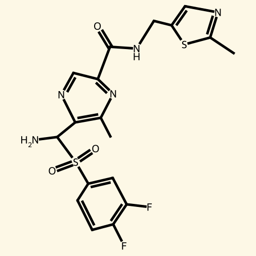 Cc1ncc(CNC(=O)c2cnc(C(N)S(=O)(=O)c3ccc(F)c(F)c3)c(C)n2)s1